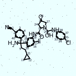 N#Cc1cccc(C(N)(CCC2CC2)c2ccc(F)c(NC(=O)[C@H]3CC(=O)CN3C(O)Nc3ccc(Cl)cc3)c2)c1